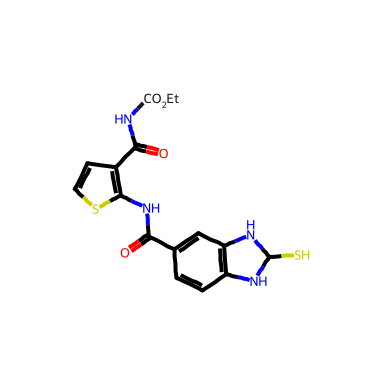 CCOC(=O)NC(=O)c1ccsc1NC(=O)c1ccc2c(c1)NC(S)N2